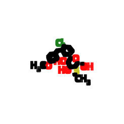 CCS[C@H]1[C@H](O)[C@@H](O)[C@H](c2ccc(Cl)c(Cc3ccc(OC)cc3)c2)O[C@@H]1CO